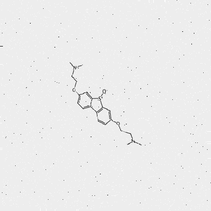 CN(C)CCOc1ccc2c3ccc(OCCN(C)C)cc3[s+]([O-])c2c1